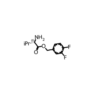 CC(C)[C@H](N)C(=O)OCc1ccc(F)c(F)c1